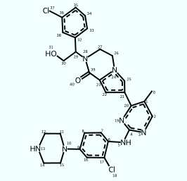 Cc1cnc(Nc2ccc(N3CCNCC3)cc2Cl)nc1-c1cc2n(c1)CCN(C(CO)c1cccc(Cl)c1)C2=O